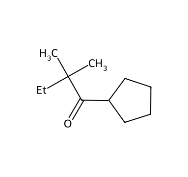 CCC(C)(C)C(=O)C1CCCC1